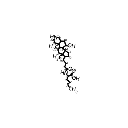 CSCCC(NC(=O)CCCC1CCC2C3C(O)CC4CNCCC4(C)C3CCC12C)C(=O)O